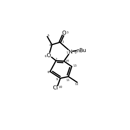 CCCCN1C(=O)C(C)Oc2cc(Cl)c(C)cc21